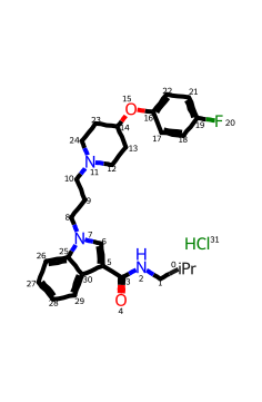 CC(C)CNC(=O)c1cn(CCCN2CCC(Oc3ccc(F)cc3)CC2)c2ccccc12.Cl